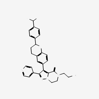 CC(C)c1ccc(C2CCc3cc(-c4c(-c5ccncc5)nn5c4C(=O)N(CCO)CC5)ccc3O2)cc1